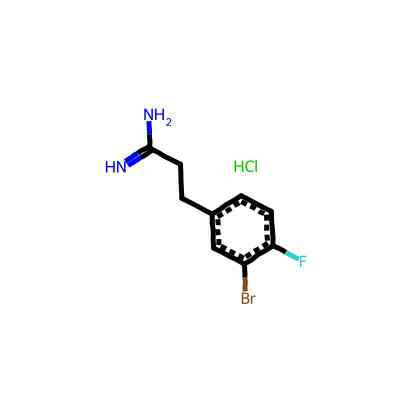 Cl.N=C(N)CCc1ccc(F)c(Br)c1